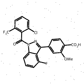 COc1cc(-c2nn(C(=O)c3c(Cl)cccc3C(F)(F)F)c3cccc(F)c23)ccc1C(=O)O